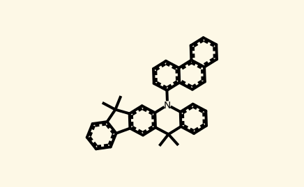 CC1(C)c2ccccc2-c2cc3c(cc21)N(c1cccc2c1ccc1ccccc12)c1ccccc1C3(C)C